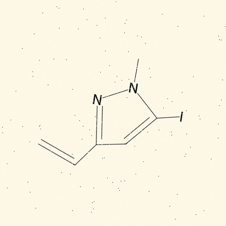 C=Cc1cc(I)n(C)n1